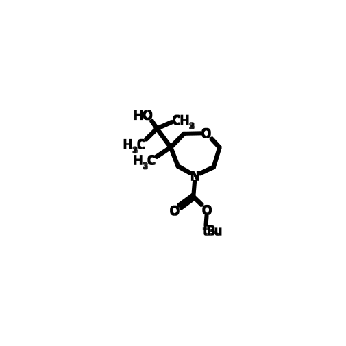 CC(C)(C)OC(=O)N1CCOCC(C)(C(C)(C)O)C1